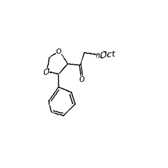 CCCCCCCCCC(=O)C1OCOC1c1ccccc1